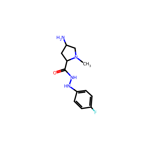 CN1CC(N)CC1C(=O)NNc1ccc(F)cc1